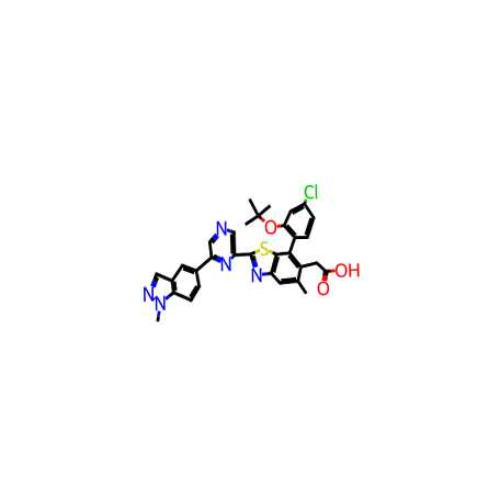 Cc1cc2nc(-c3cncc(-c4ccc5c(cnn5C)c4)n3)sc2c(-c2ccc(Cl)cc2OC(C)(C)C)c1CC(=O)O